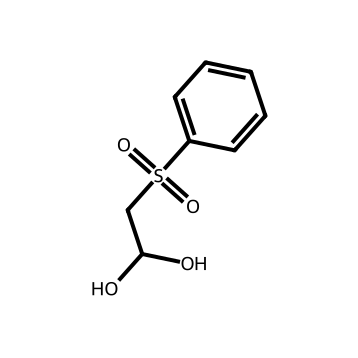 O=S(=O)(CC(O)O)c1ccccc1